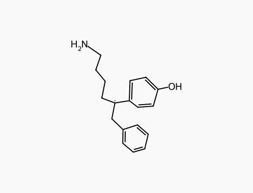 NCCCC[C](Cc1ccccc1)c1ccc(O)cc1